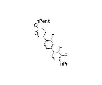 CCCCCOC1CCC(c2ccc(-c3ccc(CCC)c(F)c3F)cc2F)CO1